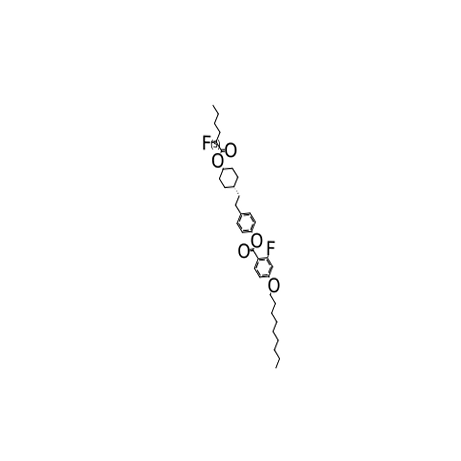 CCCCCCCCCOc1ccc(C(=O)Oc2ccc(CC[C@H]3CC[C@H](OC(=O)[C@@H](F)CCCC)CC3)cc2)c(F)c1